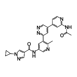 CC(=O)Nc1cc(-c2cnnc(-c3cc(NC(=O)c4cnn(C5CC5)c4)cnc3C)c2)ccn1